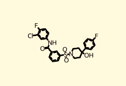 O=C(Nc1ccc(F)c(Cl)c1)c1cccc(S(=O)(=O)N2CCC(O)(c3ccc(F)cc3)CC2)c1